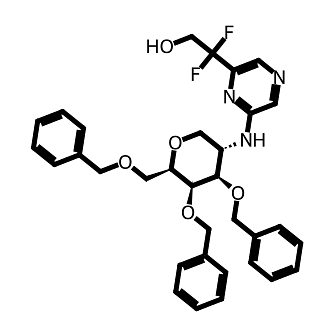 OCC(F)(F)c1cncc(N[C@H]2CO[C@H](COCc3ccccc3)[C@H](OCc3ccccc3)[C@@H]2OCc2ccccc2)n1